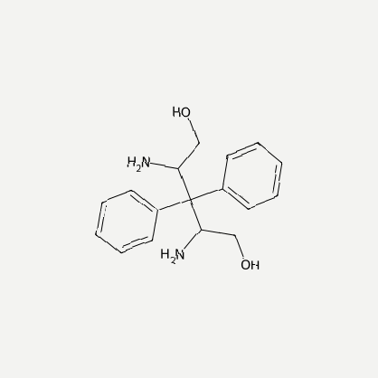 NC(CO)C(c1ccccc1)(c1ccccc1)C(N)CO